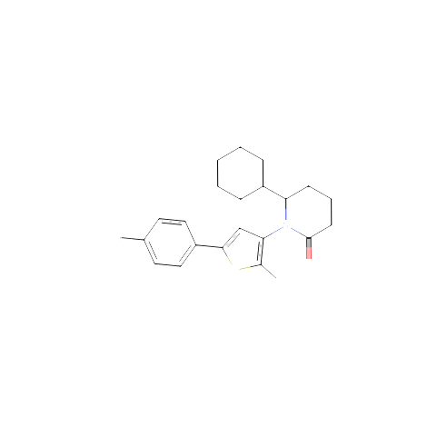 CC(C)(C)c1ccc(-c2cc(N3C(=O)CCCC3C3CCCCC3)c(C(=O)O)s2)cc1